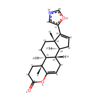 C[C@]12CCC(=O)OC1=CC[C@@H]1[C@@H]2CC[C@]2(C)C(c3cnco3)=CC[C@@H]12